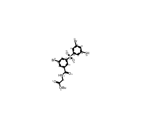 CC(C)COC(=O)CNC(=O)c1cc(Br)cc(S(=O)(=O)c2cc(S)cc(Br)c2)c1